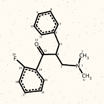 CN(C)CC(Cc1ccccc1)C(=O)c1ccccc1F